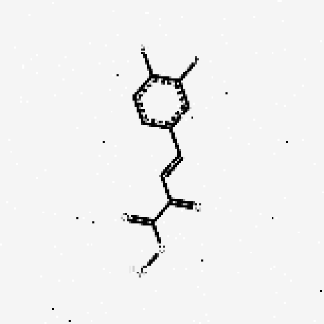 COC(=O)C(=O)/C=C/c1ccc(Br)c(F)c1